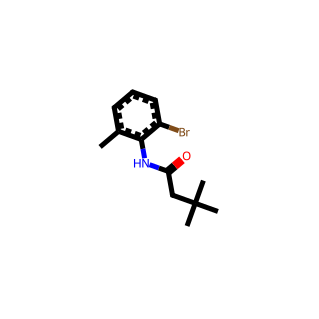 Cc1cccc(Br)c1NC(=O)CC(C)(C)C